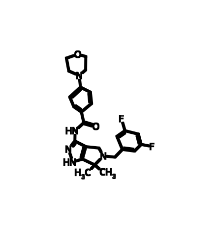 CC1(C)c2[nH]nc(NC(=O)c3ccc(N4CCOCC4)cc3)c2CN1Cc1cc(F)cc(F)c1